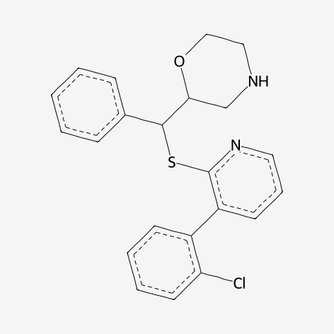 Clc1ccccc1-c1cccnc1SC(c1ccccc1)C1CNCCO1